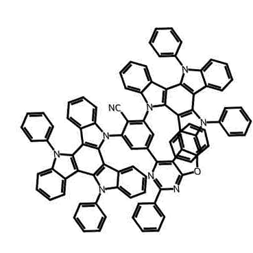 N#Cc1c(-n2c3ccccc3c3c4c(c5ccccc5n4-c4ccccc4)c4c(c5ccccc5n4-c4ccccc4)c32)cc(-c2nc(-c3ccccc3)nc3oc4ccccc4c23)cc1-n1c2ccccc2c2c3c(c4ccccc4n3-c3ccccc3)c3c(c4ccccc4n3-c3ccccc3)c21